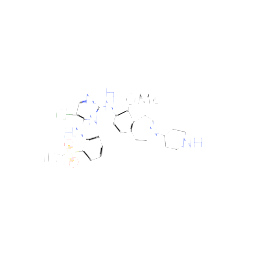 COc1c(Nc2ncc(Cl)c(Nc3ccccc3S(=O)(=O)C(C)C)n2)ccc2c1CCN(C1CCNCC1)CC2